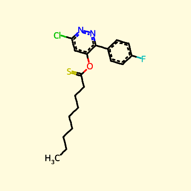 CCCCCCCCC(=S)Oc1cc(Cl)nnc1-c1ccc(F)cc1